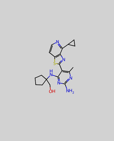 Cc1nc(N)nc(NC2(CO)CCCC2)c1-c1nc2c(C3CC3)nccc2s1